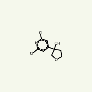 OC1(c2cc(Cl)nc(Cl)c2)CCOC1